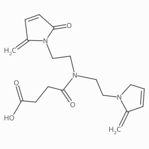 C=C1C=CCN1CCN(CCN1C(=C)C=CC1=O)C(=O)CCC(=O)O